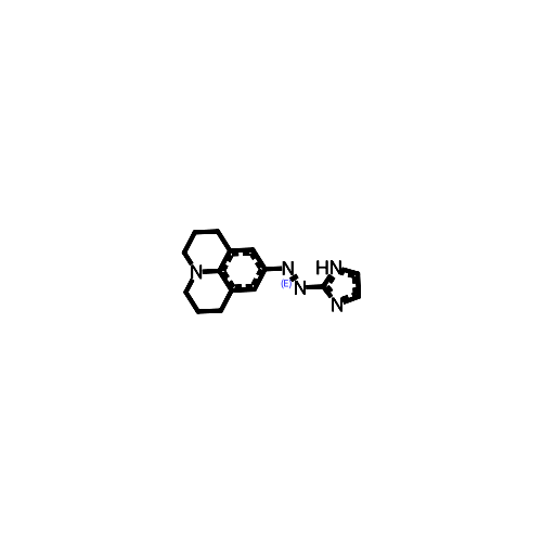 c1c[nH]c(/N=N/c2cc3c4c(c2)CCCN4CCC3)n1